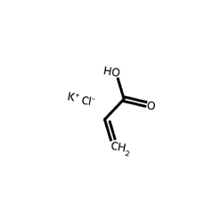 C=CC(=O)O.[Cl-].[K+]